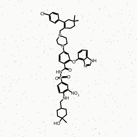 CC1(C)CCC(CN2CCN(c3ccc(C(=O)NS(=O)(=O)c4ccc(NCC5CCC(C)(O)CC5)c([N+](=O)[O-])c4)c(Oc4cccc5[nH]cnc45)c3)CC2)=C(c2ccc(Cl)cc2)C1